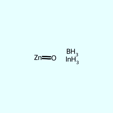 B.[InH3].[O]=[Zn]